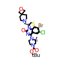 C[C@H]1CN(C(=O)OC(C)(C)C)CCN1c1nc(=O)n2c3c(c(Br)c(Cl)cc13)SC[C@@H]2CN1CCC2(CC1)COC2